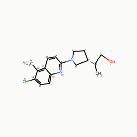 CC(CO)[C@H]1CCN(c2ccc3c(C(=O)O)c(Cl)ccc3n2)C1